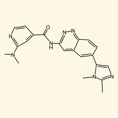 Cc1ncc(-c2ccc3nnc(NC(=O)c4ccnc(N(C)C)c4)cc3c2)n1C